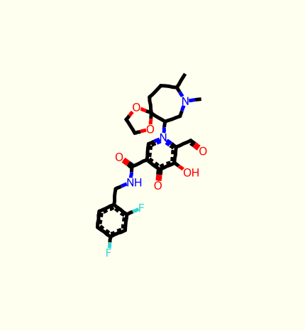 CC1CCC2(OCCO2)C(n2cc(C(=O)NCc3ccc(F)cc3F)c(=O)c(O)c2C=O)CN1C